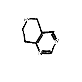 [c]1ncnc2c1CNCC2